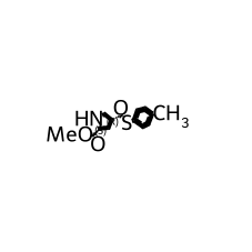 COC(=O)[C@@H]1C[C@@H](C(=O)Sc2ccc(C)cc2)CN1